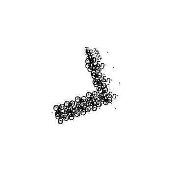 O=P([O-])([O-])[CH]([Sn])P(=O)([O-])[O-].O=P([O-])([O-])[CH]([Sn])P(=O)([O-])[O-].O=P([O-])([O-])[CH]([Sn])P(=O)([O-])[O-].O=P([O-])([O-])[CH]([Sn])P(=O)([O-])[O-].O=P([O-])([O-])[CH]([Sn])P(=O)([O-])[O-].O=P([O-])([O-])[CH]([Sn])P(=O)([O-])[O-].O=P([O-])([O-])[CH]([Sn])P(=O)([O-])[O-].[Tc+7].[Tc+7].[Tc+7].[Tc+7]